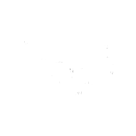 Cc1noc(=O)c2ccc(N(CC3CCCc4cc(C#N)ccc43)C(=O)[C@@H](O)C(F)(F)F)cc12